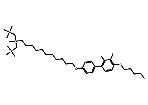 CCCCCOc1ccc(-c2ccc(OCCCCCCCCCCC[Si](C)(C[Si](C)(C)C)O[Si](C)(C)C)cc2)c(F)c1F